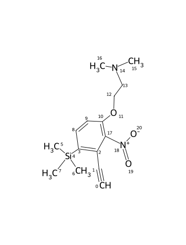 C#Cc1c([Si](C)(C)C)ccc(OCCN(C)C)c1[N+](=O)[O-]